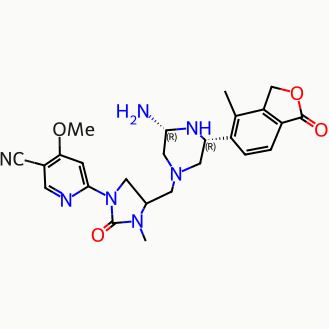 COc1cc(N2CC(CN3C[C@@H](c4ccc5c(c4C)COC5=O)N[C@@H](N)C3)N(C)C2=O)ncc1C#N